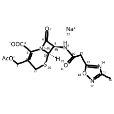 CC(=O)OCC1=C(C(=O)[O-])N2C(=O)[C@@H](NC(=O)Cc3nc(C)no3)[C@H]2SC1.[Na+]